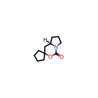 O=C1OC2(CCCC2)C[C@@H]2CCCN12